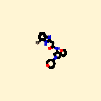 O=C(Cc1nc2cccc(C(F)(F)F)c2[nH]1)NC1CN(C2CCCOCC2)C[C@@]12CCCO2